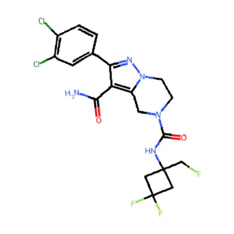 NC(=O)c1c(-c2ccc(Cl)c(Cl)c2)nn2c1CN(C(=O)NC1(CF)CC(F)(F)C1)CC2